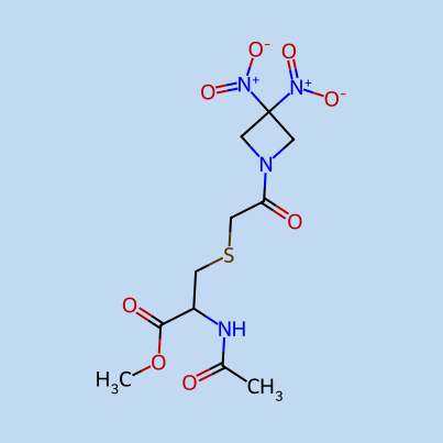 COC(=O)C(CSCC(=O)N1CC([N+](=O)[O-])([N+](=O)[O-])C1)NC(C)=O